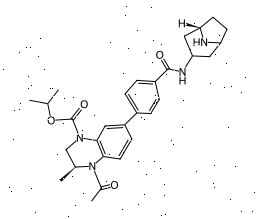 CC(=O)N1c2ccc(-c3ccc(C(=O)NC4CC5CC[C@@H](C4)N5)cc3)cc2N(C(=O)OC(C)C)C[C@@H]1C